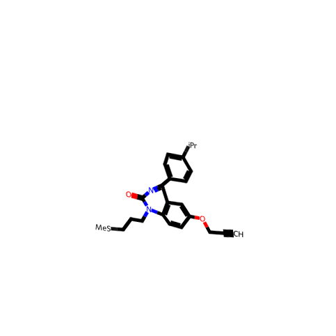 C#CCOc1ccc2c(c1)c(-c1ccc(C(C)C)cc1)nc(=O)n2CCCSC